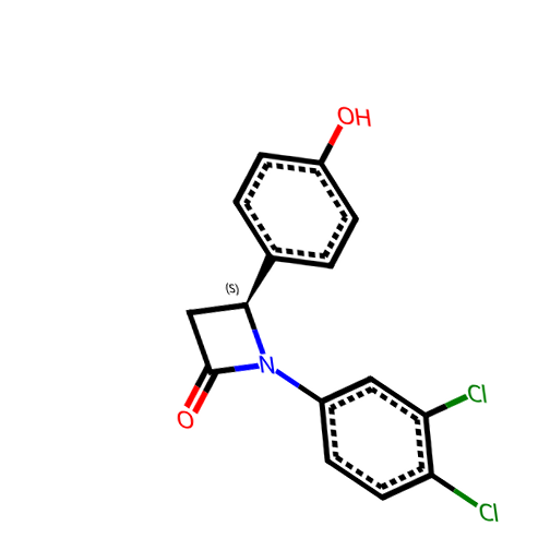 O=C1C[C@@H](c2ccc(O)cc2)N1c1ccc(Cl)c(Cl)c1